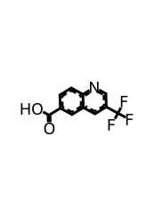 O=C(O)c1ccc2ncc(C(F)(F)F)cc2c1